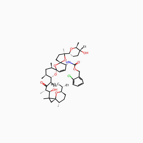 CC[C@@H](C(=O)[C@@H](C)[C@@H](O)C1(C)C[C@]12O[C@@H]([C@@H](CC)C(=O)O)CC[C@@H]2C)[C@H]1O[C@]2(C=C[C@@H](NC(=O)OCc3ccccc3Cl)[C@]3(CC[C@@](C)([C@H]4CC[C@](O)(CC)[C@H](C)O4)O3)O2)[C@H](C)C[C@@H]1C